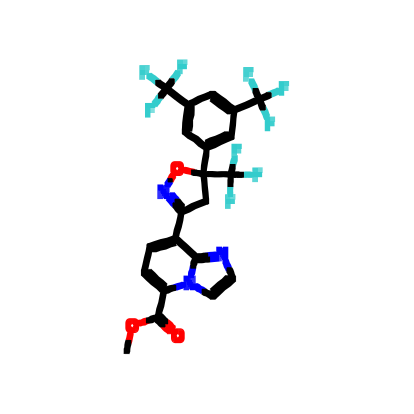 COC(=O)c1ccc(C2=NOC(c3cc(C(F)(F)F)cc(C(F)(F)F)c3)(C(F)(F)F)C2)c2nccn12